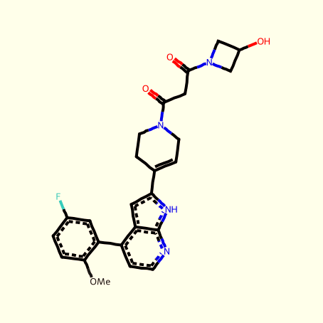 COc1ccc(F)cc1-c1ccnc2[nH]c(C3=CCN(C(=O)CC(=O)N4CC(O)C4)CC3)cc12